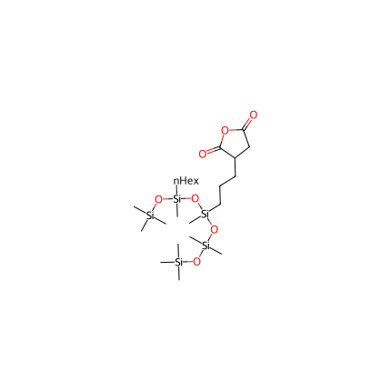 CCCCCC[Si](C)(O[Si](C)(C)C)O[Si](C)(CCCC1CC(=O)OC1=O)O[Si](C)(C)O[Si](C)(C)C